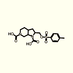 Cc1ccc(S(=O)(=O)OCC2CC3CCN(C(=O)O)CC3N2C(=O)O)cc1